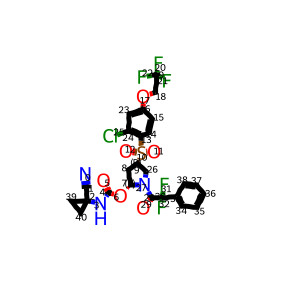 N#CC1(NC(=O)O[C@H]2C[C@@H](S(=O)(=O)c3ccc(OCC(F)(F)F)cc3Cl)CN2C(=O)C(F)(F)c2ccccc2)CC1